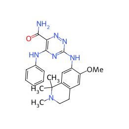 COc1cc2c(cc1Nc1nnc(C(N)=O)c(Nc3ccccc3)n1)C(C)(C)N(C)CC2